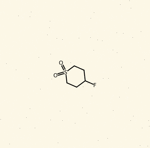 O=S1(=O)CCC(F)CC1